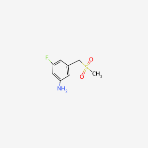 CS(=O)(=O)Cc1cc(N)cc(F)c1